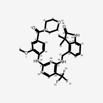 COc1cc(C(=O)N2CCOCC2)ccc1Nc1ncc(C(F)(F)F)c(NCc2cccc3c2C(C)(C)C(=O)N3)n1